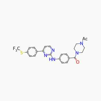 CC(=O)N1CCN(C(=O)c2ccc(Nc3nccc(-c4ccc(SC(F)(F)F)cc4)n3)cc2)CC1